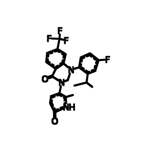 Cc1[nH]c(=O)ccc1N1CN(c2ccc(F)cc2C(C)C)c2cc(C(F)(F)F)ccc2C1=O